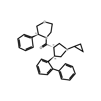 O=C([C@@H]1CN(C2CC2)C[C@H]1c1ccccc1-c1ccccc1)N1CCOC[C@@H]1c1ccccc1